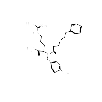 N=C(N)NCCC[C@H](C(N)=O)N(Cc1ccc(O)cc1)C(=O)CCCCCc1ccccc1